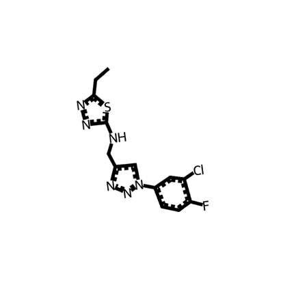 CCc1nnc(NCc2cn(-c3ccc(F)c(Cl)c3)nn2)s1